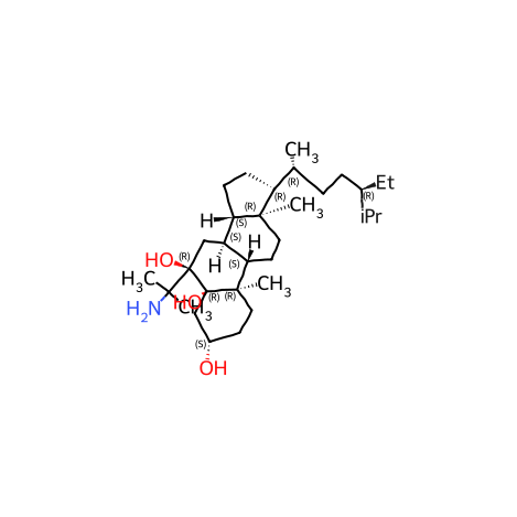 CC[C@H](CC[C@@H](C)[C@H]1CC[C@H]2[C@@H]3C[C@@](O)(C(C)(C)N)[C@@]4(O)C[C@@H](O)CC[C@]4(C)[C@H]3CC[C@]12C)C(C)C